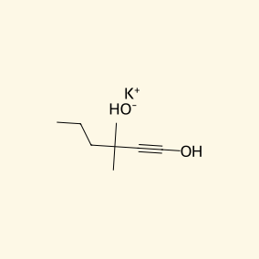 CCCC(C)(C)C#CO.[K+].[OH-]